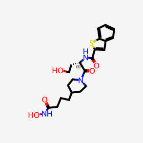 O=C(CCCC1CCN(C(=O)[C@H](CCO)NC(=O)c2cc3ccccc3s2)CC1)NO